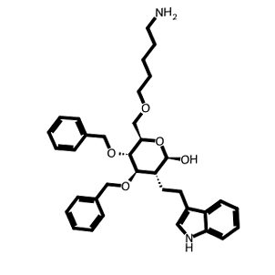 NCCCCCOC[C@H]1O[C@@H](O)[C@H](CCc2c[nH]c3ccccc23)[C@@H](OCc2ccccc2)[C@@H]1OCc1ccccc1